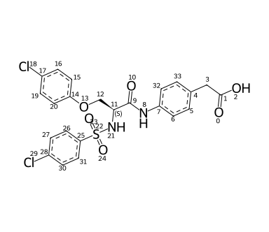 O=C(O)Cc1ccc(NC(=O)[C@H](COc2ccc(Cl)cc2)NS(=O)(=O)c2ccc(Cl)cc2)cc1